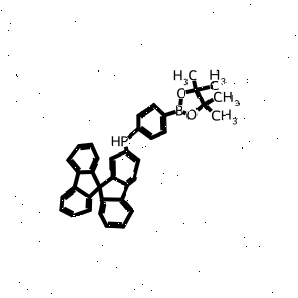 CC1(C)OB(c2ccc(Pc3ccc4c(c3)C3(c5ccccc5-c5ccccc53)c3ccccc3-4)cc2)OC1(C)C